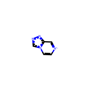 C1=Cn2cnnc2C=[N+]1